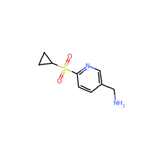 NCc1ccc(S(=O)(=O)C2CC2)nc1